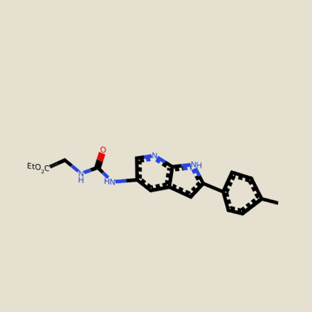 CCOC(=O)CNC(=O)Nc1cnc2[nH]c(-c3ccc(C)cc3)cc2c1